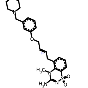 CN1C(N)=NS(=O)(=O)c2cccc(C/C=C/COc3cccc(CN4CCCCC4)c3)c21